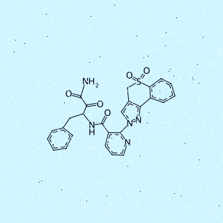 NC(=O)C(=O)C(Cc1ccccc1)NC(=O)c1cccnc1-n1cc2c(n1)-c1ccccc1S(=O)(=O)C2